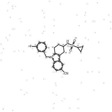 N#Cc1ccc2c(c1)c1c(n2Cc2cccc(F)c2)CCC(NS(=O)(=O)C2CC2)C1